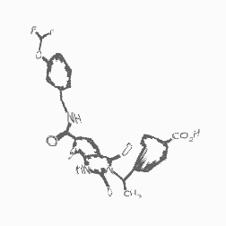 CC(c1ccc(C(=O)O)cc1)n1c(=O)[nH]c2sc(C(=O)NCc3cccc(OC(F)F)c3)cc2c1=O